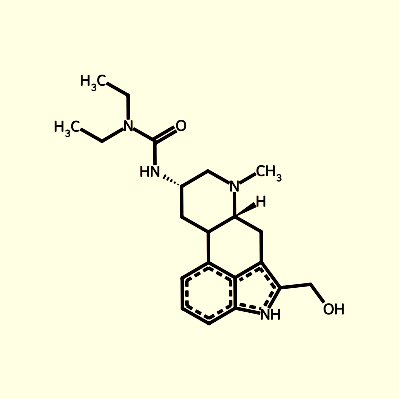 CCN(CC)C(=O)N[C@H]1CC2c3cccc4[nH]c(CO)c(c34)C[C@H]2N(C)C1